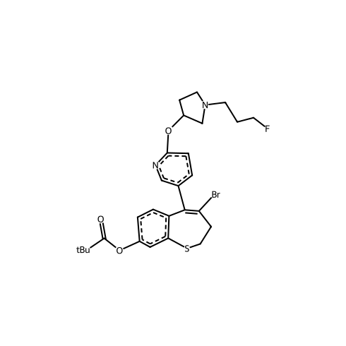 CC(C)(C)C(=O)Oc1ccc2c(c1)SCCC(Br)=C2c1ccc(OC2CCN(CCCF)C2)nc1